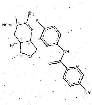 C[C@H]1OC[C@]2(c3cc(NC(=O)c4ccc(C#N)cn4)ccc3F)N=C(N)[C@@](C)(C#N)C[C@H]12